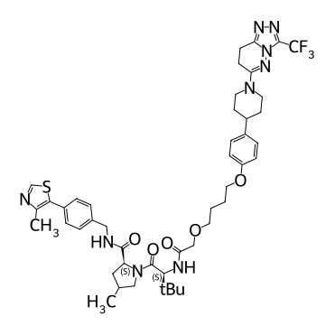 Cc1ncsc1-c1ccc(CNC(=O)[C@@H]2CC(C)CN2C(=O)[C@@H](NC(=O)COCCCCOc2ccc(C3CCN(C4=Nn5c(nnc5C(F)(F)F)CC4)CC3)cc2)C(C)(C)C)cc1